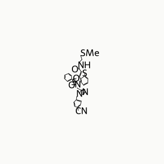 CSCCCNC(=O)c1cc2c(N(Cc3cncn3Cc3ccc(C#N)cc3)S(=O)(=O)c3ccccc3)cccc2s1